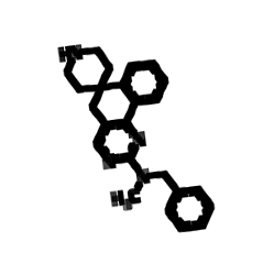 CN(Cc1ccccc1)c1ncc2c(n1)-c1ccccc1C1(CCNCC1)C2